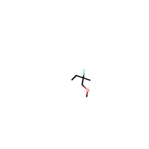 CCC(C)(F)COC